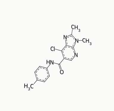 Cc1ccc(NC(=O)c2cnc3c(nc(C)n3C)c2Cl)cc1